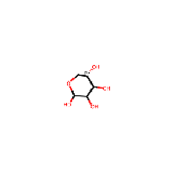 OC1OC[C@H](O)C(O)C1O